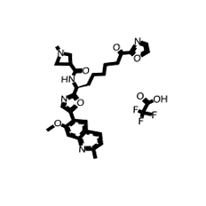 COc1cc2nc(C)ccc2cc1-c1cnc([C@H](CCCCCC(=O)c2ncco2)NC(=O)C2CN(C)C2)o1.O=C(O)C(F)(F)F